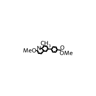 COC(=O)c1ccc(-c2cc(C)c3nc(OC)ccc3c2)cc1